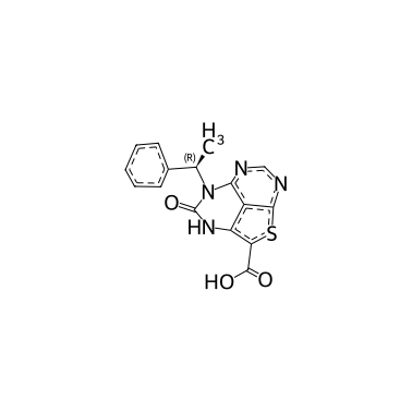 C[C@H](c1ccccc1)N1C(=O)Nc2c(C(=O)O)sc3ncnc1c23